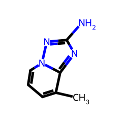 Cc1cccn2nc(N)nc12